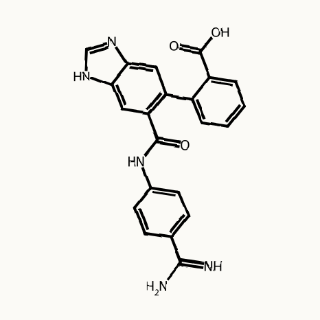 N=C(N)c1ccc(NC(=O)c2cc3[nH]cnc3cc2-c2ccccc2C(=O)O)cc1